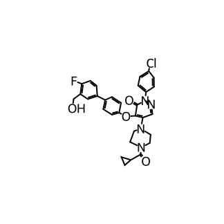 O=C(C1CC1)N1CCN(c2cnn(-c3ccc(Cl)cc3)c(=O)c2Oc2ccc(-c3ccc(F)c(CO)c3)cc2)CC1